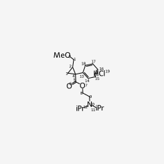 COCC1CC1(C(=O)OCCN(C(C)C)C(C)C)c1ccccc1.Cl